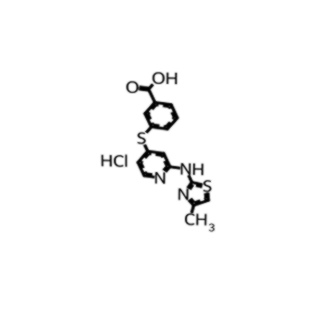 Cc1csc(Nc2cc(Sc3cccc(C(=O)O)c3)ccn2)n1.Cl